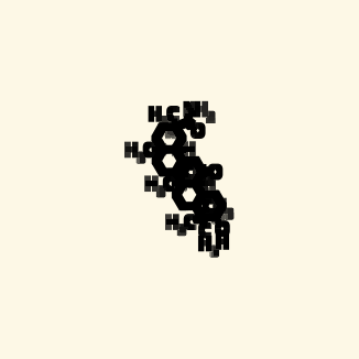 CC1(C)C2CC[C@]3(C)[C@H](C(=O)C=C4[C@H]5C[C@@](C)(C(N)=O)CC[C@]5(C)CC[C@]43C)[C@@]2(C)CC[C@@H]1O